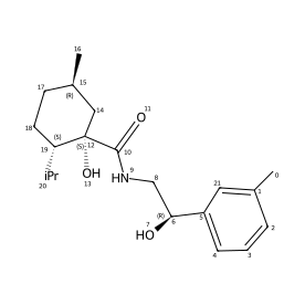 Cc1cccc([C@@H](O)CNC(=O)[C@]2(O)C[C@H](C)CC[C@H]2C(C)C)c1